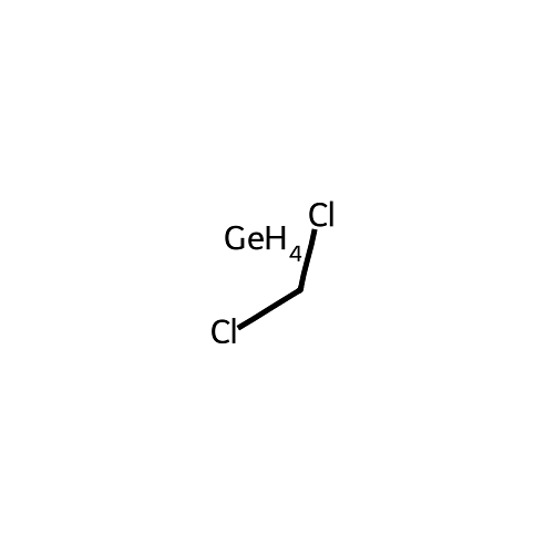 ClCCl.[GeH4]